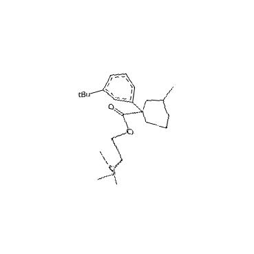 CC1CCCC(C(=O)OCC[Si](C)(C)C)(c2cccc(C(C)(C)C)c2)C1